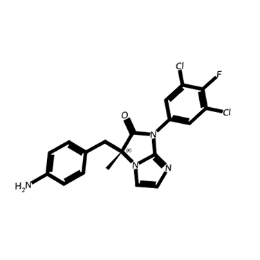 C[C@@]1(Cc2ccc(N)cc2)C(=O)N(c2cc(Cl)c(F)c(Cl)c2)c2nccn21